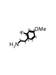 COc1ccc(CCN)c(F)c1